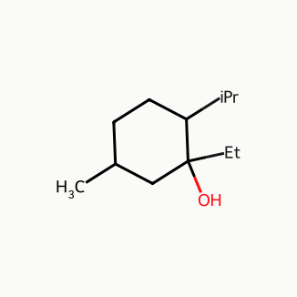 CCC1(O)CC(C)CCC1C(C)C